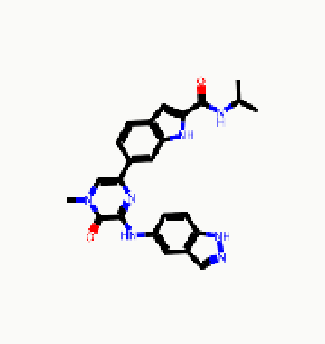 CC(C)NC(=O)c1cc2ccc(-c3cn(C)c(=O)c(Nc4ccc5[nH]ncc5c4)n3)cc2[nH]1